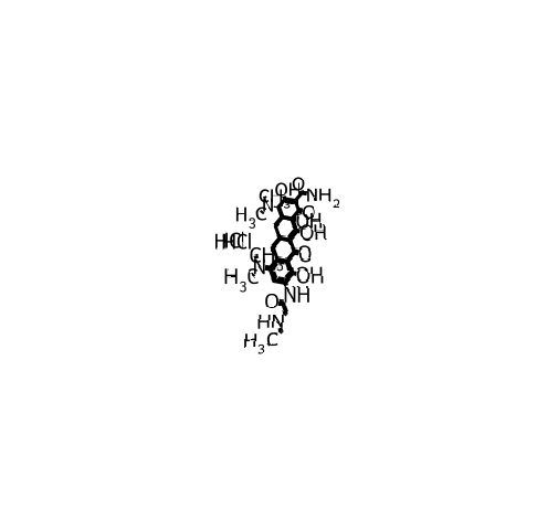 CCNCC(=O)Nc1cc(N(C)C)c2c(c1O)C(=O)C1=C(O)C3(O)C(=O)C(C(N)=O)=C(O)[C@@H](N(C)C)C3CC1C2.Cl.Cl